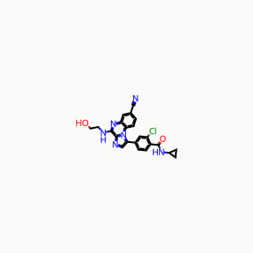 N#Cc1ccc2c(c1)nc(NCCO)c1ncc(-c3ccc(C(=O)NC4CC4)c(Cl)c3)n12